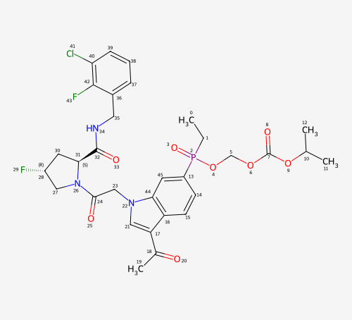 CCP(=O)(OCOC(=O)OC(C)C)c1ccc2c(C(C)=O)cn(CC(=O)N3C[C@H](F)C[C@H]3C(=O)NCc3cccc(Cl)c3F)c2c1